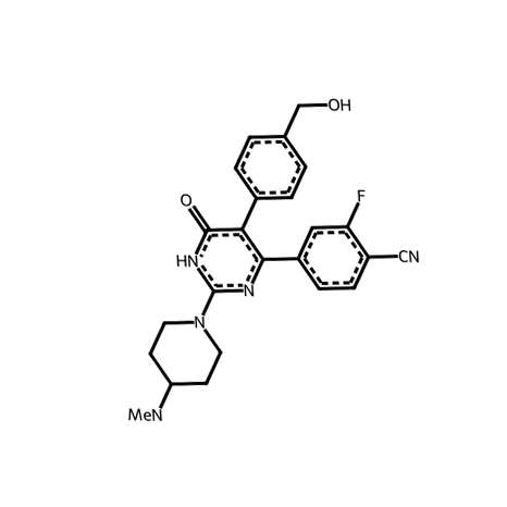 CNC1CCN(c2nc(-c3ccc(C#N)c(F)c3)c(-c3ccc(CO)cc3)c(=O)[nH]2)CC1